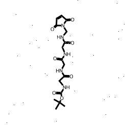 CC(C)(C)OC(=O)NCC(=O)NCC(=O)NCC(=O)NCN1C(=O)C=CC1=O